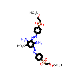 Nc1c(N=Nc2ccc(S(=O)(=O)CCOS(=O)(=O)O)cc2)cc(S(=O)(=O)O)c(N)c1N=Nc1ccc(S(=O)(=O)CCOS(=O)(=O)O)cc1